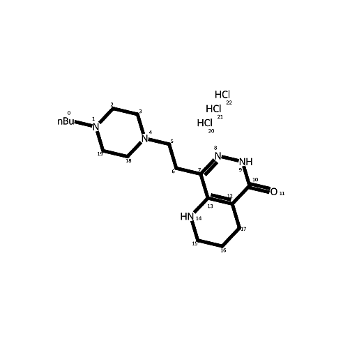 CCCCN1CCN(CCc2n[nH]c(=O)c3c2NCCC3)CC1.Cl.Cl.Cl